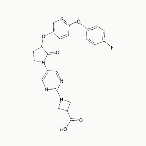 O=C(O)C1CN(c2ncc(N3CCC(Oc4ccc(Oc5ccc(F)cc5)nc4)C3=O)cn2)C1